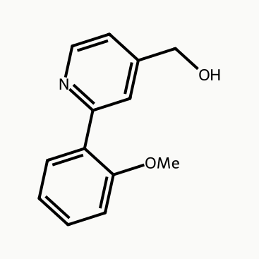 COc1ccccc1-c1cc(CO)ccn1